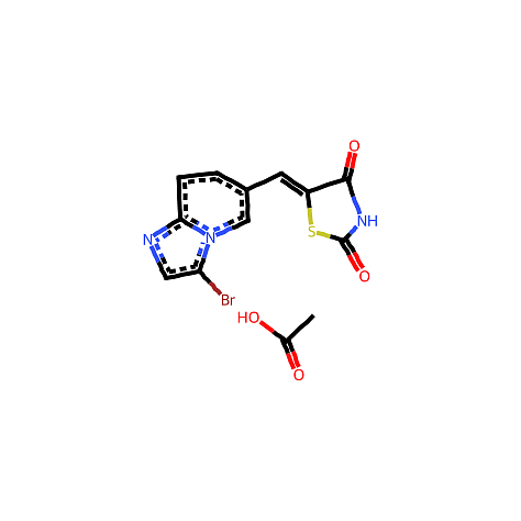 CC(=O)O.O=C1NC(=O)C(=Cc2ccc3ncc(Br)n3c2)S1